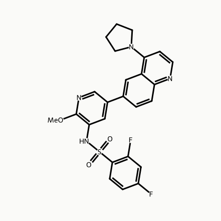 COc1ncc(-c2ccc3nccc(N4CCCC4)c3c2)cc1NS(=O)(=O)c1ccc(F)cc1F